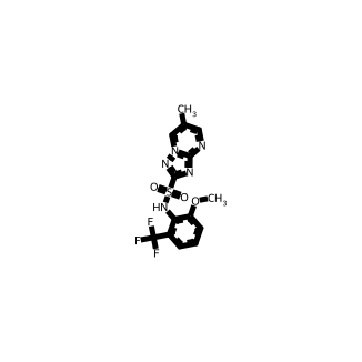 COc1cccc(C(F)(F)F)c1NS(=O)(=O)c1nc2ncc(C)cn2n1